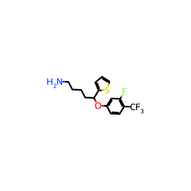 NCCCCC(Oc1ccc(C(F)(F)F)c(F)c1)c1cccs1